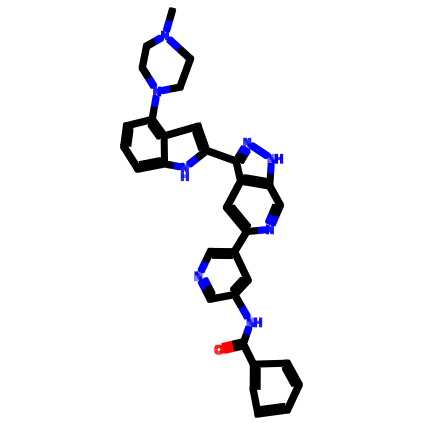 CN1CCN(c2cccc3[nH]c(-c4n[nH]c5cnc(-c6cncc(NC(=O)c7ccccc7)c6)cc45)cc23)CC1